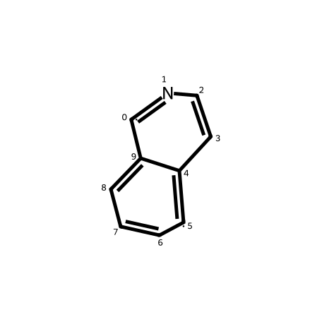 [c]1nccc2[c]cccc12